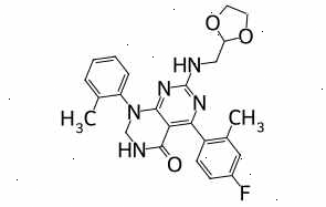 Cc1cc(F)ccc1-c1nc(NCC2OCCO2)nc2c1C(=O)NCN2c1ccccc1C